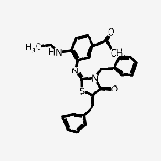 CCNc1ccc(C(C)=O)cc1/N=C1/S/C(=C\c2ccccc2)C(=O)N1Cc1ccccc1